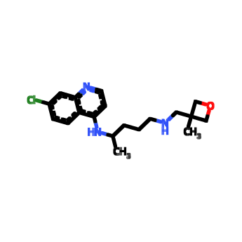 CC(CCCNCC1(C)COC1)Nc1ccnc2cc(Cl)ccc12